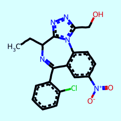 CCC1N=C(c2ccccc2Cl)c2cc([N+](=O)[O-])ccc2-n2c(CO)nnc21